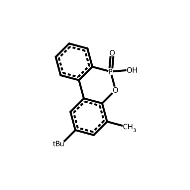 Cc1cc(C(C)(C)C)cc2c1OP(=O)(O)c1ccccc1-2